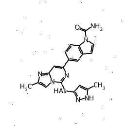 Cc1cn2c([AsH]c3cc(C)[nH]n3)nc(-c3c[c]c4c(ccn4C(N)=O)c3)cc2n1